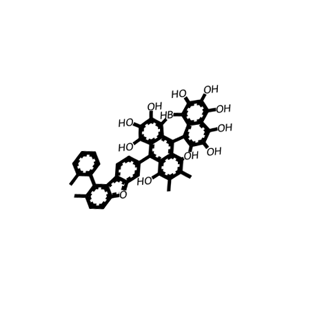 Cc1ccccc1-c1c(C)ccc2oc3cc(-c4c5c(O)c(C)c(C)c(O)c5c5c6c(c(O)c(O)c(O)c46)Bc4c(O)c(O)c(O)c6c(O)c(O)c(C)c-5c46)ccc3c12